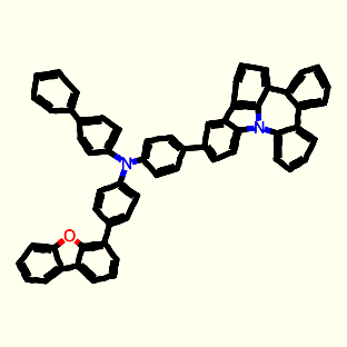 c1ccc(-c2ccc(N(c3ccc(-c4ccc5c(c4)c4cccc6c4n5-c4ccccc4-c4ccccc4-6)cc3)c3ccc(-c4cccc5c4oc4ccccc45)cc3)cc2)cc1